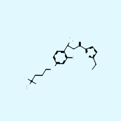 CCc1ccc(C(=O)C[C@](C)(N)c2ccc(OCCCC(F)(F)F)cc2F)s1